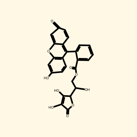 O=C1OC(C(O)COC(=O)c2ccccc2-c2c3ccc(=O)cc-3oc3cc(O)ccc23)C(O)=C1O